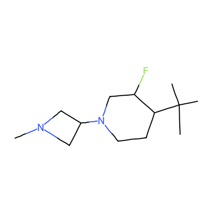 CN1CC(N2CCC(C(C)(C)C)C(F)C2)C1